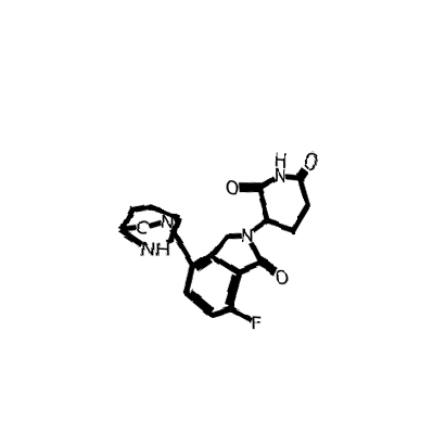 O=C1CCC(N2Cc3c(N4CC5CCC4CN5)ccc(F)c3C2=O)C(=O)N1